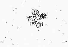 O=C([O-])C(O)C(O)C(O)C(O)C(O)CO.[Na+]